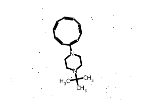 CC(C)(C)N1CCN(c2ccccccccc2)CC1